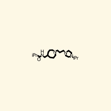 CC(C)C(=O)NCC1CCCN(CCCN2CCN(C(C)C)CC2)CCC1